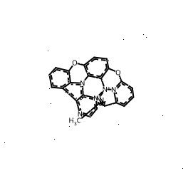 Cc1cc2n(n1)[N+]13c4c(ccc5c4-n4c6c(cccc6c6ncc[n+]1c64)O5)Oc1cccc-2[n+]13